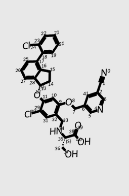 N#Cc1cncc(COc2cc(O[C@H]3CCc4c(-c5ccccc5Cl)cccc43)c(Cl)cc2CN[C@@H](CO)C(=O)O)c1